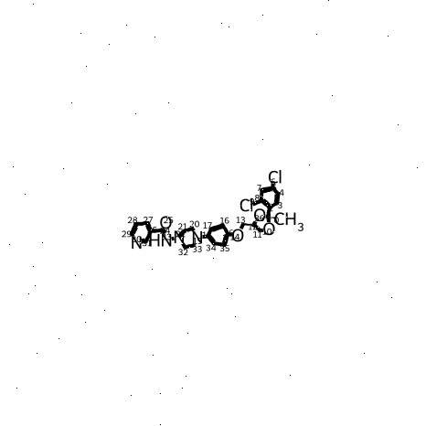 C[C@]1(c2ccc(Cl)cc2Cl)OC[C@@H](COc2ccc(N3CCN(NC(=O)c4cccnc4)CC3)cc2)O1